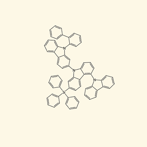 c1ccc(-c2ccccc2-n2c3ccccc3c3ccc(-n4c5cc([Si](c6ccccc6)(c6ccccc6)c6ccccc6)ccc5c5c(-n6c7ccccc7c7ccccc76)cccc54)cc32)cc1